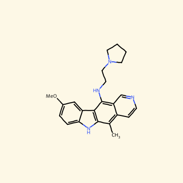 COc1ccc2[nH]c3c(C)c4ccncc4c(NCCN4CCCC4)c3c2c1